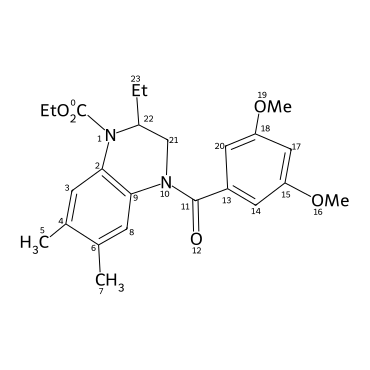 CCOC(=O)N1c2cc(C)c(C)cc2N(C(=O)c2cc(OC)cc(OC)c2)CC1CC